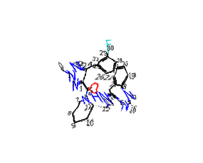 Cn1nc(C(=O)N2CCCC[C@H]2CNc2ncnc3ccccc23)c(-c2cccc(F)c2)n1